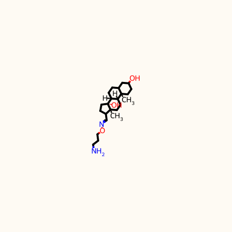 C[C@]12CCC(O)CC1CC[C@@H]1[C@H]2CC[C@]2(C)C(/C=N/OCCCN)CC[C@@]12O